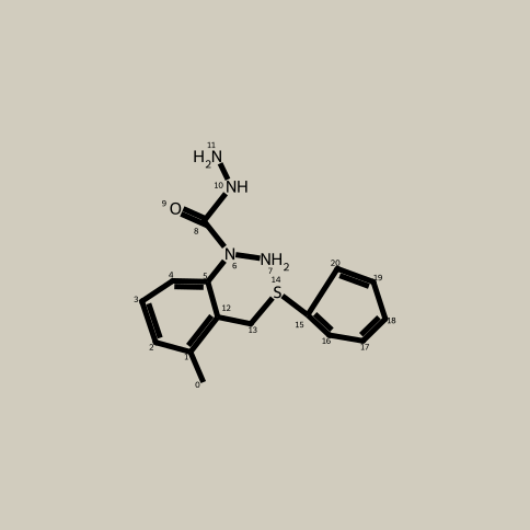 Cc1cccc(N(N)C(=O)NN)c1CSc1ccccc1